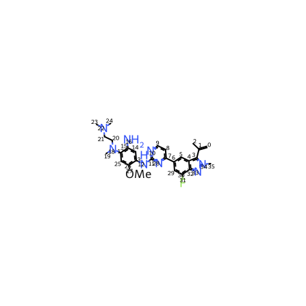 C=C(C)c1c2cc(-c3ccnc(Nc4cc(N)c(N(C)CCN(C)C)cc4OC)n3)cc(F)c2nn1C